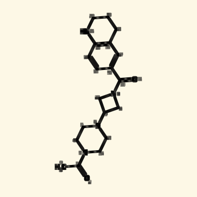 CC(=O)N1CCN(C2CN(C(=O)c3ccc4c(c3)CCCN4)C2)CC1